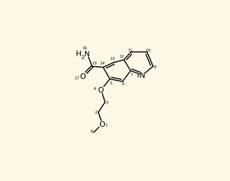 COCCOc1cc2ncccc2cc1C(N)=O